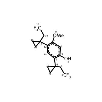 COc1cc(O)c(C2(CC(F)(F)F)CC2)cc1C1(CC(F)(F)F)CC1